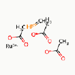 C=P.CC(=O)[O-].CC(=O)[O-].CC(=O)[O-].[Ru+3]